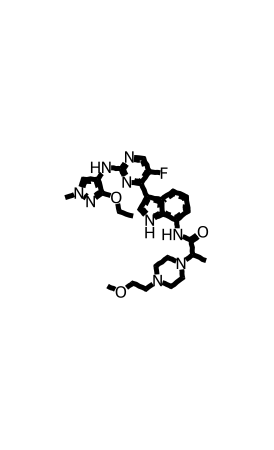 CCOc1nn(C)cc1Nc1ncc(F)c(-c2c[nH]c3c(NC(=O)C(C)N4CCN(CCOC)CC4)cccc23)n1